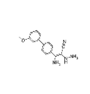 COc1cccc(-c2ccc(/C(N)=C(\C#N)NN)cc2)c1